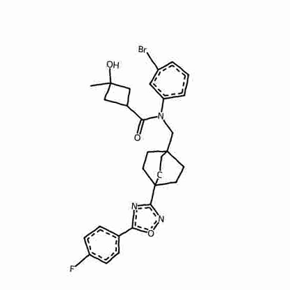 CC1(O)CC(C(=O)N(CC23CCC(c4noc(-c5ccc(F)cc5)n4)(CC2)CC3)c2cccc(Br)c2)C1